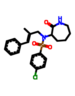 CC(=Cc1ccccc1)CN(C1CCCCNC1=O)S(=O)(=O)c1ccc(Cl)cc1